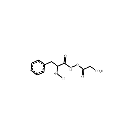 CCNC(Cc1ccccc1)C(=O)NOC(=O)CC(=O)O